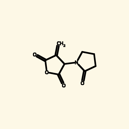 C=C1C(=O)OC(=O)C1N1CCCC1=O